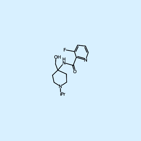 CC(C)N1CCC(CO)(NC(=O)c2ncccc2F)CC1